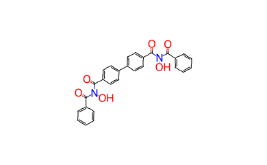 O=C(c1ccccc1)N(O)C(=O)c1ccc(-c2ccc(C(=O)N(O)C(=O)c3ccccc3)cc2)cc1